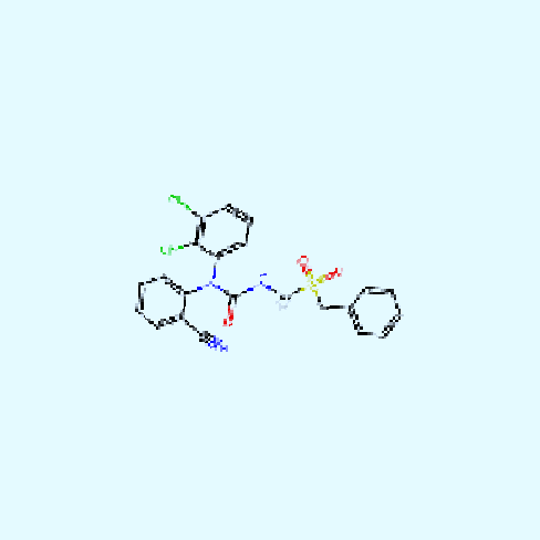 N#Cc1ccccc1N(C(=O)N[AsH]S(=O)(=O)Cc1ccccc1)c1cccc(Cl)c1Cl